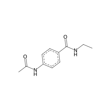 CCNC(=O)c1ccc(NC(C)=O)cc1